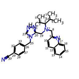 CC(C)C(C(C)C)N(Cc1ccc2ccccc2n1)Cc1nncn1Cc1ccc(C#N)cc1